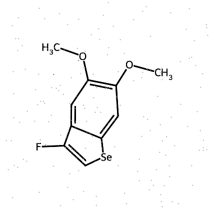 COc1cc2[se]cc(F)c2cc1OC